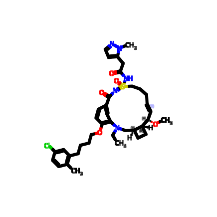 CCN1C[C@@H]2CC[C@H]2[C@@H](OC)/C=C/CCCS(=O)(NC(=O)Cc2ccnn2C)=NC(=O)c2ccc(OCCCCc3cc(Cl)ccc3C)c1c2